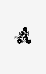 CC(C)N(C(=O)CN1C(=O)C(Cc2c[nH]c3ccccc23)c2nnc(-c3ccccc3)n2-c2ccncc21)c1ccccc1